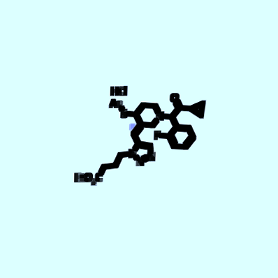 CCOC(=O)CCCn1nncc1/C=C1\CN(C(C(=O)C2CC2)c2ccccc2F)CCC1SC(C)=O.Cl